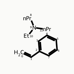 C=Cc1ccccc1.CCCN(CC)CCC